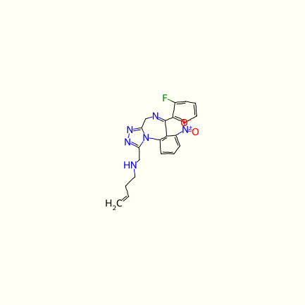 C=CCCNCc1nnc2n1-c1cccc([N+](=O)[O-])c1C(c1ccccc1F)=NC2